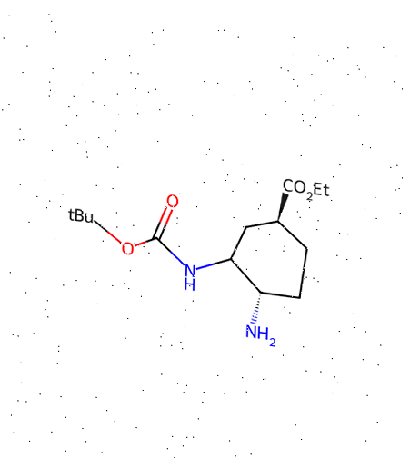 CCOC(=O)[C@H]1CC[C@H](N)C(NC(=O)OC(C)(C)C)C1